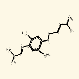 Cc1cc(OCCCC(C)C)c(C)cc1/N=C/N(C)C